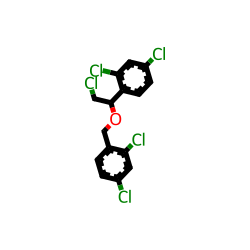 ClCC(OCc1ccc(Cl)cc1Cl)c1ccc(Cl)cc1Cl